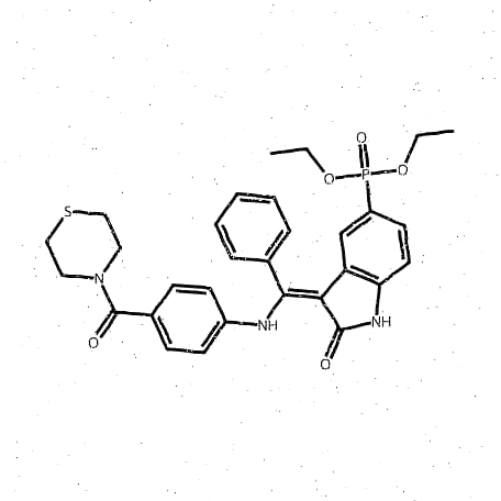 CCOP(=O)(OCC)c1ccc2c(c1)/C(=C(/Nc1ccc(C(=O)N3CCSCC3)cc1)c1ccccc1)C(=O)N2